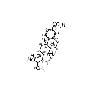 C[C@@H](O)[C@H]1CC[C@H]2[C@@H]3CCc4cc(C(=O)O)ccc4[C@H]3CC[C@]12C